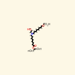 CCCCCCCCC(CCCCCCCC)OC(=O)CCCCCCCN(CCO)CCCCCCCCOC(=O)O